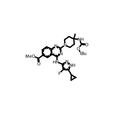 COC(=O)c1ccc2nc(N3CCC(C)(NC(=O)OC(C)(C)C)CC3)nc(Nc3n[nH]c(C4CC4)c3F)c2c1